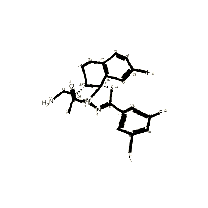 CC(=O)N1N=C(c2cc(F)cc(F)c2)S[C@]12c1cc(F)ccc1CC[C@H]2CCN